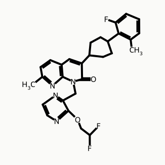 Cc1ccc2cc(C3CCC(c4c(C)cccc4F)CC3)c(=O)n(Cc3nccnc3OCC(F)F)c2n1